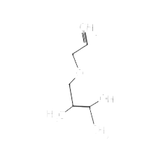 C=CCOCC(C)C(C)O